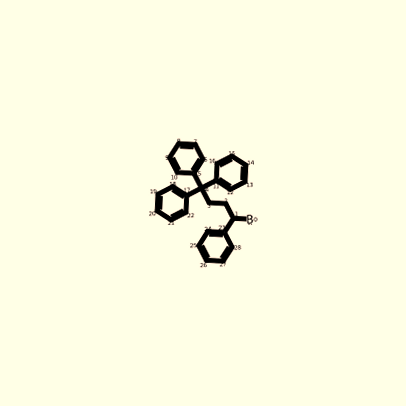 [B]C(CCC(c1ccccc1)(c1ccccc1)c1ccccc1)c1ccccc1